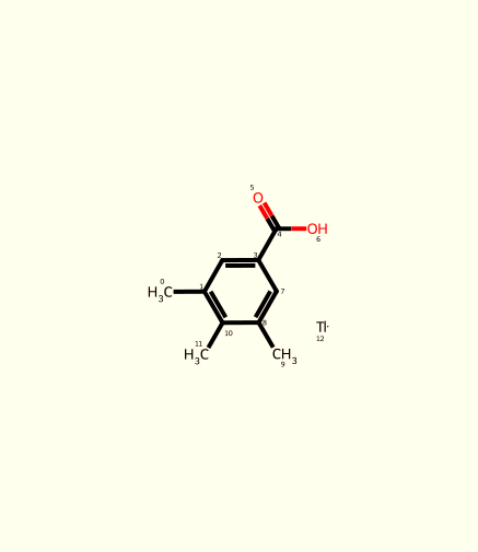 Cc1cc(C(=O)O)cc(C)c1C.[Tl]